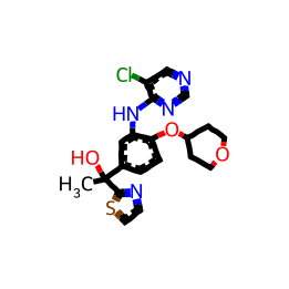 CC(O)(c1ccc(OC2CCOCC2)c(Nc2ncncc2Cl)c1)c1nccs1